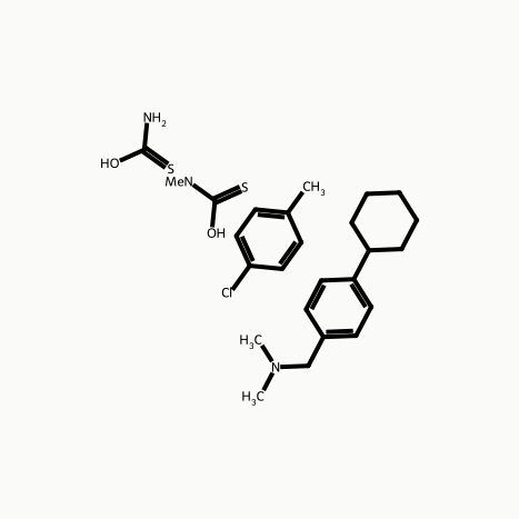 CN(C)Cc1ccc(C2CCCCC2)cc1.CNC(O)=S.Cc1ccc(Cl)cc1.NC(O)=S